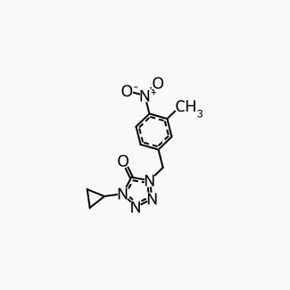 Cc1cc(Cn2nnn(C3CC3)c2=O)ccc1[N+](=O)[O-]